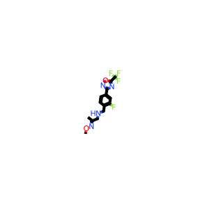 CO/N=C(\C)CNCc1ccc(-c2noc(C(F)(F)F)n2)cc1F